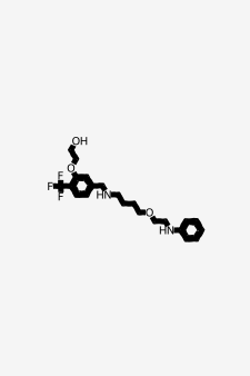 OCCOc1cc(CNCCCCOCCNc2ccccc2)ccc1C(F)(F)F